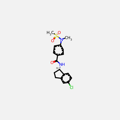 CN(c1ccc(C(=O)N[C@H]2CCc3cc(Cl)ccc32)cc1)S(C)(=O)=O